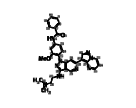 COc1cc(NC(=O)c2ccccc2)ccc1-n1nc(NCCN(C)C)c2cnc(-c3cnn4cccnc34)cc21